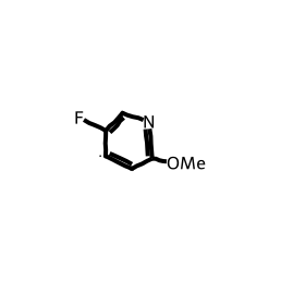 COc1c[c]c(F)cn1